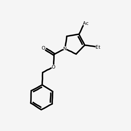 CCC1=C(C(C)=O)CN(C(=O)OCc2ccccc2)C1